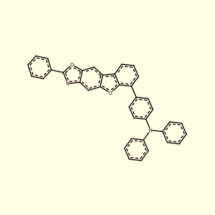 c1ccc(-c2nc3cc4oc5c(-c6ccc(N(c7ccccc7)c7ccccc7)cc6)cccc5c4cc3o2)cc1